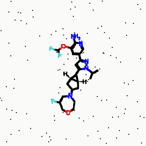 CC(C)n1nc(-c2cnc(N)c(OC(F)F)c2)cc1C1[C@H]2CC(N3CCOCC(F)C3)C[C@@H]12